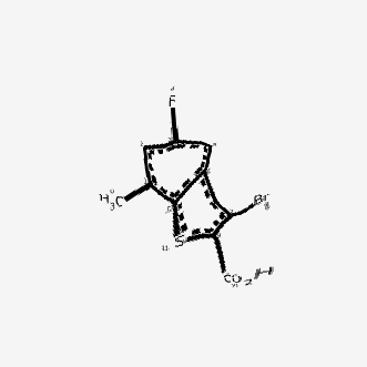 Cc1cc(F)cc2c(Br)c(C(=O)O)sc12